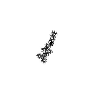 C[C@@]1(c2ccc(-c3nnc(-c4ccc(-c5ccccc5-c5ccccc5-c5ccc(N(c6ccccc6)c6ccccc6)cc5)cc4)o3)cc2)C=CC=CC1